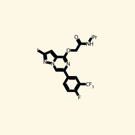 CC(C)NC(=O)COc1nc(-c2ccc(F)c(C(F)(F)F)c2)cn2nc(I)cc12